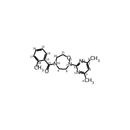 Cc1cc(C)nc(N2CCN(C(=O)c3ccccc3C)CCO2)n1